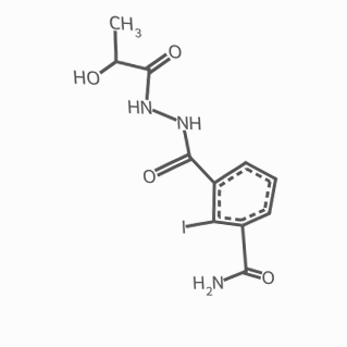 CC(O)C(=O)NNC(=O)c1cccc(C(N)=O)c1I